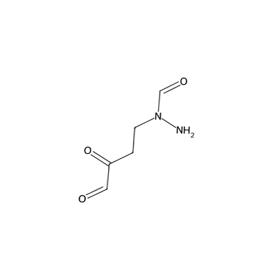 NN(C=O)CCC(=O)C=O